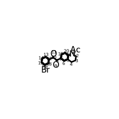 CC(=O)N1CCCc2cc(C(=O)C(=O)c3cccc(Br)c3)ccc21